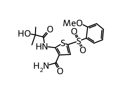 COc1ccccc1S(=O)(=O)c1cc(C(N)=O)c(NC(=O)C(C)(C)O)s1